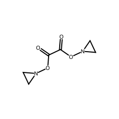 O=C(ON1CC1)C(=O)ON1CC1